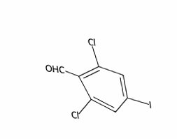 O=Cc1c(Cl)cc(I)cc1Cl